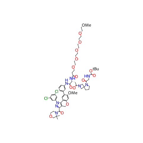 COCCOCCOCCOCCOCCOCCC(=O)N[C@H](CC(=O)N1CC2(CCCN2C(=O)CNC(=O)OC(C)(C)C)C1)C(=O)Nc1cccc(-c2cc3c(cc2OC)OCc2c(C(=O)N4CCOCC4(C)C)nn(-c4cc(Cl)cc(Cl)c4)c2-3)c1